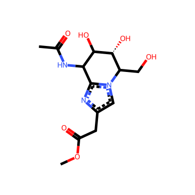 COC(=O)Cc1cn2c(n1)C(NC(C)=O)C(O)[C@H](O)C2CO